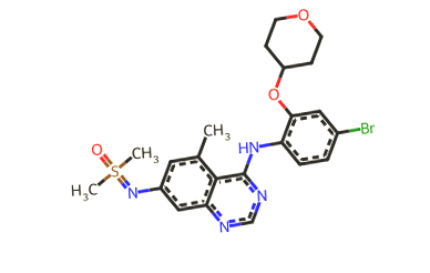 Cc1cc(N=S(C)(C)=O)cc2ncnc(Nc3ccc(Br)cc3OC3CCOCC3)c12